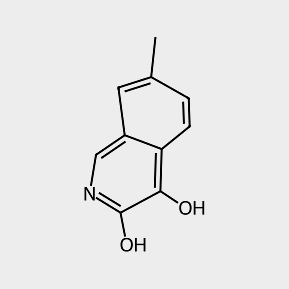 Cc1ccc2c(O)c(O)ncc2c1